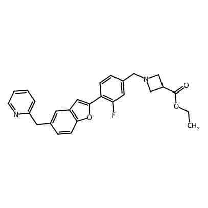 CCOC(=O)C1CN(Cc2ccc(-c3cc4cc(Cc5ccccn5)ccc4o3)c(F)c2)C1